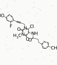 Cc1ccc(CCC(=O)Nc2c(Cl)n(CC#Cc3ccc(O)cc3F)c(=O)n(C)c2=O)cc1